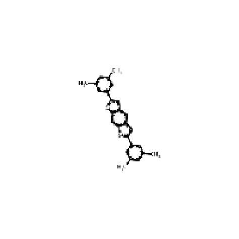 Cc1cc(C)cc(-c2cc3cc4cc(-c5cc(C)cc(C)c5)sc4cc3s2)c1